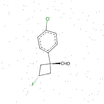 O=C[C@]1(c2ccc(Cl)cc2)C[C@@H](F)C1